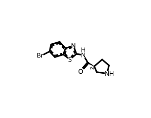 O=C(Nc1nc2ccc(Br)cc2s1)[C@H]1CCNC1